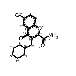 NC(=O)c1oc2ccc(Cl)cc2c(=O)c1CC1CCCCC1